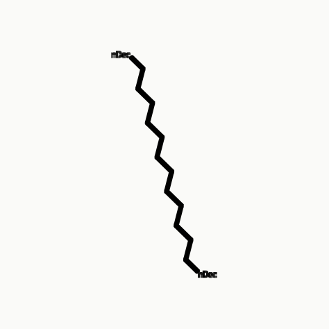 [CH2]CCCCCCCCCCCCCCCCCCCCCCCCCCCCCCC